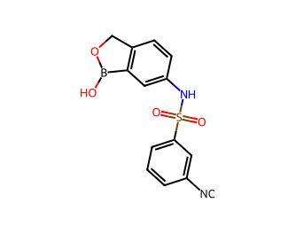 [C-]#[N+]c1cccc(S(=O)(=O)Nc2ccc3c(c2)B(O)OC3)c1